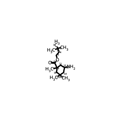 CC(C)(C)CCOC(=O)C1(C)CC(N)CC(C)(C)C1